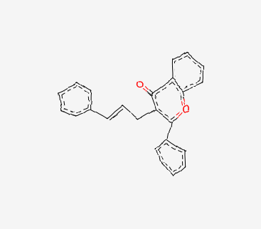 O=c1c(CC=Cc2ccccc2)c(-c2ccccc2)oc2ccccc12